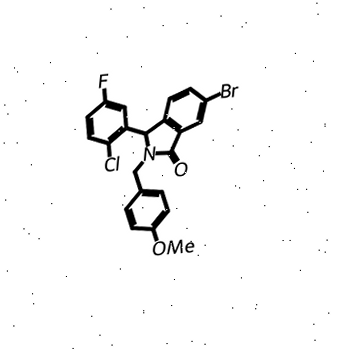 COc1ccc(CN2C(=O)c3cc(Br)ccc3C2c2cc(F)ccc2Cl)cc1